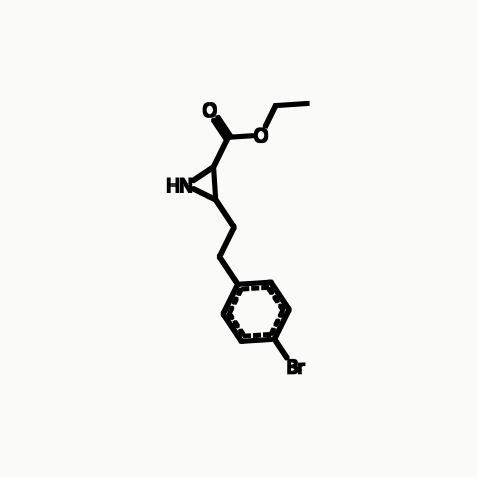 CCOC(=O)C1NC1CCc1ccc(Br)cc1